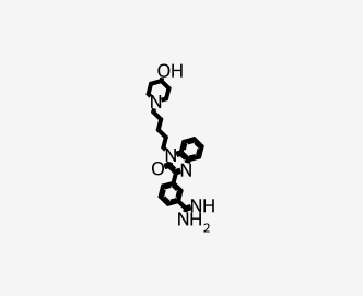 N=C(N)c1cccc(-c2nc3ccccc3n(CCCCCN3CCC(O)CC3)c2=O)c1